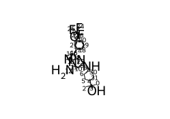 CC(C)(O)[C@H]1CC[C@H](Nc2cc(N)n3ncc(-c4cccc(OC(F)(F)F)c4)c3n2)CC1